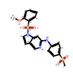 CS(=O)(=O)c1ccc(Nc2cc3c(ccn3S(=O)(=O)c3ccccc3OC(F)(F)F)cn2)cc1